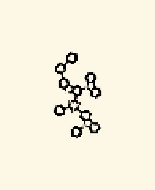 c1ccc(-c2cccc(-c3ccc4oc5c(-c6nc(-c7ccccc7)nc(-c7ccc8c9ccccc9n(-c9ccccc9)c8c7)n6)cc(-n6c7ccccc7c7ccccc76)cc5c4c3)c2)cc1